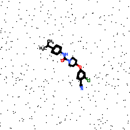 CC(C)c1ccc(NC(=O)N2CCC(Oc3ccc(C#N)c(Cl)c3)CC2)cc1